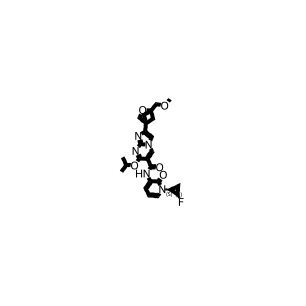 COCC12CC(c3cn4cc(C(=O)Nc5cccn([C@H]6C[C@H]6F)c5=O)c(OC(C)C)nc4n3)(CO1)C2